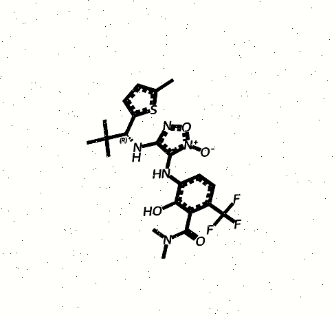 Cc1ccc([C@H](Nc2no[n+]([O-])c2Nc2ccc(C(F)(F)F)c(C(=O)N(C)C)c2O)C(C)(C)C)s1